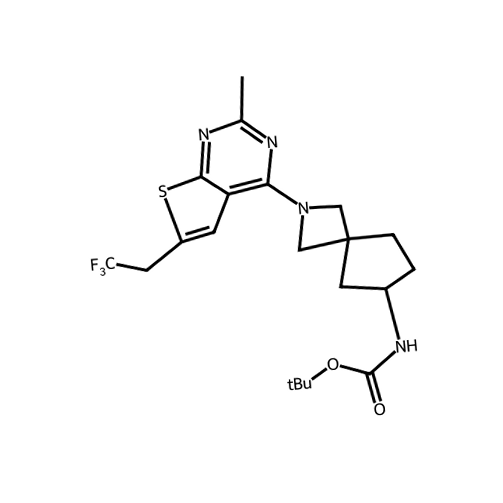 Cc1nc(N2CC3(CCC(NC(=O)OC(C)(C)C)C3)C2)c2cc(CC(F)(F)F)sc2n1